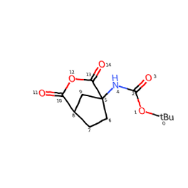 CC(C)(C)OC(=O)NC12CCC(C1)C(=O)OC2=O